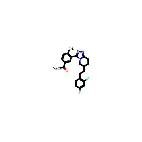 COC(=O)c1ccc(C)c(-c2nnc3n2CC(CCc2ccc(F)cc2F)CC3)c1